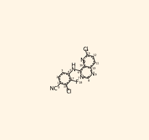 N#Cc1ccc(Nc2ncnc3ccc(Cl)nc23)c(F)c1Cl